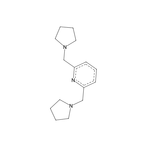 c1cc(CN2CCCC2)nc(CN2CCCC2)c1